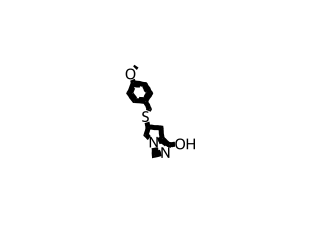 COc1ccc(CSC2Cc3c(O)ncn3C2)cc1